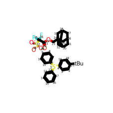 CC(C)(C)c1ccc([S+](c2ccccc2)c2ccccc2)cc1.O=C(OCC12CC3CC(CC(C3)C1)C2)C(F)(F)S(=O)(=O)[O-]